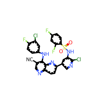 N#Cc1cnc2ccc(-c3cnc(Cl)c(NS(=O)(=O)c4ccc(F)cc4F)c3)nc2c1Nc1ccc(F)c(Cl)c1